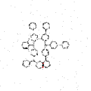 Cc1cccc(C)c1B1c2ccc(B(c3ccccc3)c3ccccc3)cc2-c2cc(-c3ccccc3)ccc2N(c2ccc(-c3ccccc3)cc2)c2ccc(-c3ccccc3)cc2-c2cc(-c3ccccc3)ccc21